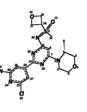 C[C@@H]1COCCN1c1cc(N=S(C)(=O)C2COC2)nc(-c2cc(N)nc(Cl)c2)n1